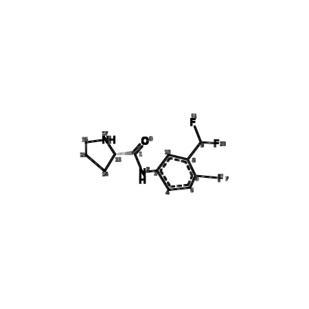 O=C(Nc1ccc(F)c(C(F)F)c1)[C@@H]1CCCN1